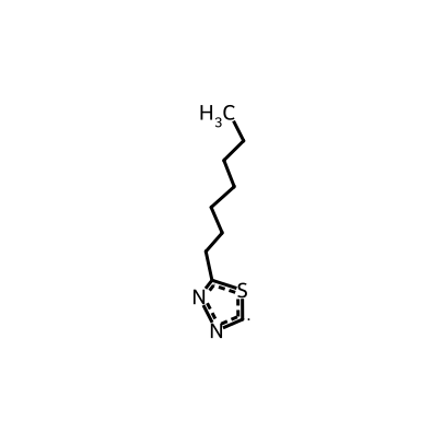 CCCCCCCc1nn[c]s1